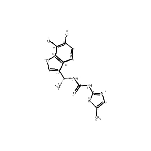 C[C@@H](NC(=O)Nc1ncc(C(F)(F)F)[nH]1)c1coc2c(Cl)c(Cl)ccc12